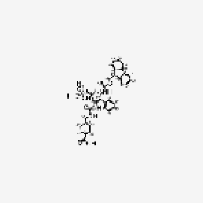 CC(C)(C)OC(=O)C[C@H](NC(=O)OCC1c2ccccc2-c2ccccc21)C(=NNC(=O)NCC1CCC(C(=O)O)CC1)c1ccccc1